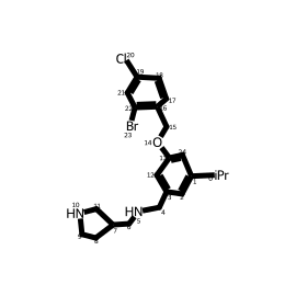 CC(C)c1cc(CNCC2CCNC2)cc(OCc2ccc(Cl)cc2Br)c1